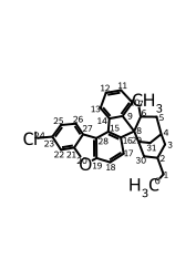 CCC1CC2CC(C)C3(c4ccccc4-c4c3ccc3oc5cc(Cl)ccc5c43)C(C1)C2